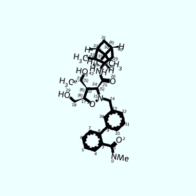 CNC(=O)c1ccccc1-c1cccc(CN2O[C@@H](CO)[C@@H]([C@H](C)O)[C@H]2C(=O)N[C@H]2C[C@H]3C[C@@H]([C@@H]2C)C3(C)C)c1